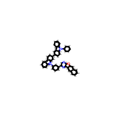 c1ccc(-n2c3ccccc3c3cc(-c4ccc5c6ccccc6n(-c6cccc(-c7cnc8oc9cc%10ccccc%10cc9c8n7)c6)c5c4)ccc32)cc1